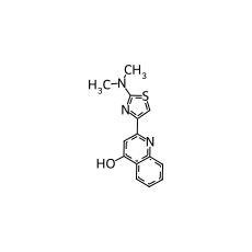 CN(C)c1nc(-c2cc(O)c3ccccc3n2)cs1